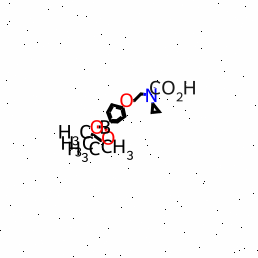 CC1(C)OB(c2ccc(OCCN(C(=O)O)C3CC3)cc2)OC1(C)C